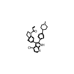 C=CC(=O)N1CCc2ccc(-c3c(-c4ccc(C5CCN(C)CC5)cc4)[nH]c4nccc(Cl)c34)cc21